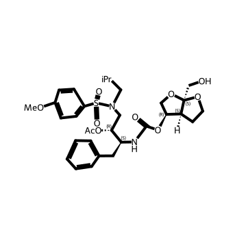 COc1ccc(S(=O)(=O)N(CC(C)C)C[C@@H](OC(C)=O)[C@H](Cc2ccccc2)NC(=O)O[C@H]2CO[C@@]3(CO)OCC[C@@H]23)cc1